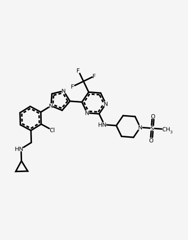 CS(=O)(=O)N1CCC(Nc2ncc(C(F)(F)F)c(-c3cn(-c4cccc(CNC5CC5)c4Cl)cn3)n2)CC1